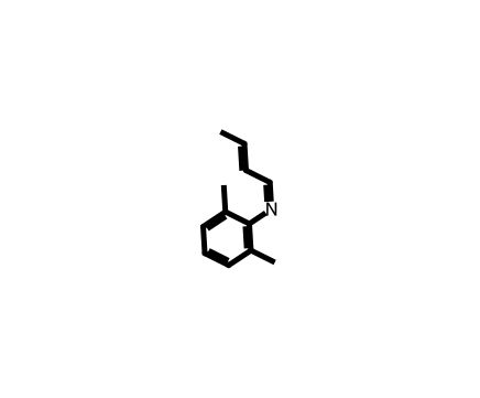 C/C=C/C=N\c1c(C)cccc1C